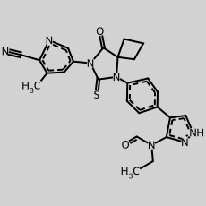 CCN(C=O)c1n[nH]cc1-c1ccc(N2C(=S)N(c3cnc(C#N)c(C)c3)C(=O)C23CCC3)cc1